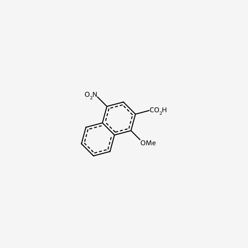 COc1c(C(=O)O)cc([N+](=O)[O-])c2ccccc12